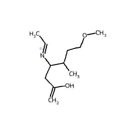 C=C(O)CC(/N=C/C)C(C)CCOC